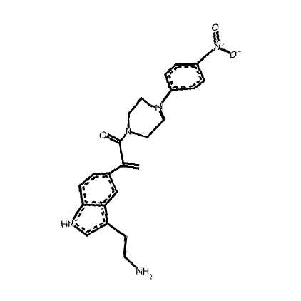 C=C(C(=O)N1CCN(c2ccc([N+](=O)[O-])cc2)CC1)c1ccc2[nH]cc(CCN)c2c1